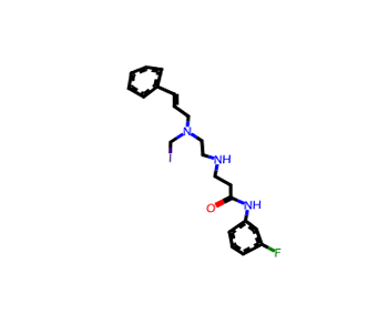 O=C(CCNCCN(CI)C/C=C/c1ccccc1)Nc1cccc(F)c1